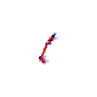 CCc1cc2c(cc1-c1cnn(CC(=O)N(C)CCOCCOCCOCCOCCNc3cccc4c3C(=O)N(C3CCC(=O)NC3=O)C4=O)c1)C(C)(C)c1[nH]c3cc(C#N)ccc3c1C2=O